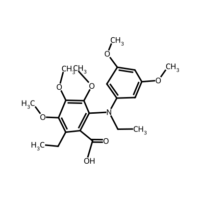 CCc1c(OC)c(OC)c(OC)c(N(CC)c2cc(OC)cc(OC)c2)c1C(=O)O